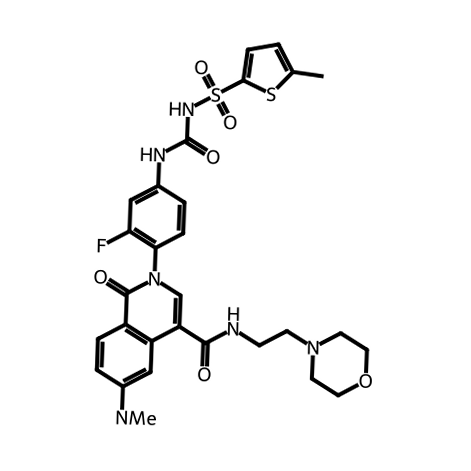 CNc1ccc2c(=O)n(-c3ccc(NC(=O)NS(=O)(=O)c4ccc(C)s4)cc3F)cc(C(=O)NCCN3CCOCC3)c2c1